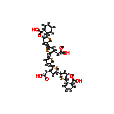 O=C(O)Cc1cc(-c2ccc(-c3ccccc3C(=O)O)s2)sc1-c1ccc(-c2sc(-c3ccc(-c4ccccc4C(=O)O)s3)cc2CC(=O)O)s1